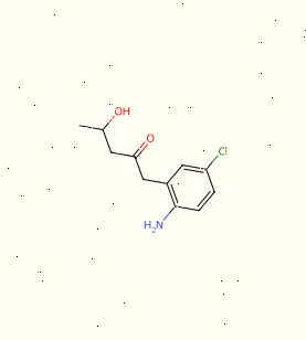 CC(O)CC(=O)Cc1cc(Cl)ccc1N